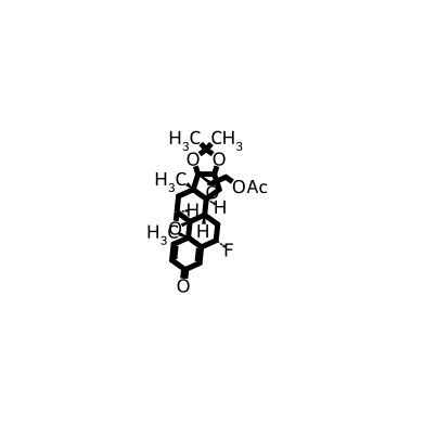 CC(=O)OCC(=O)[C@@]12OC(C)(C)OC1C[C@H]1[C@@H]3C[C@H](F)C4=CC(=O)C=C[C@]4(C)[C@@]34O[C@H]4C[C@@]12C